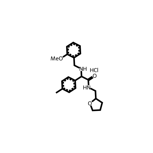 COc1ccccc1CNC(C(=O)NCC1CCCO1)c1ccc(C)cc1.Cl